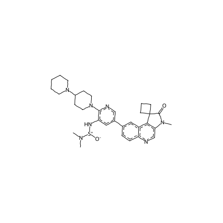 CN1C(=O)C2(CCC2)c2c1cnc1ccc(-c3cnc(N4CCC(N5CCCCC5)CC4)c(N[S+]([O-])N(C)C)c3)cc21